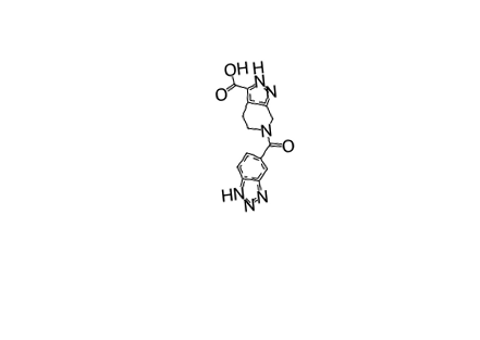 O=C(O)c1[nH]nc2c1CCN(C(=O)c1ccc3[nH]nnc3c1)C2